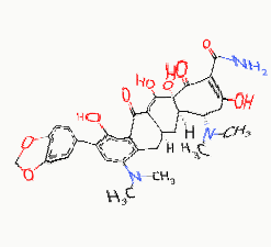 CN(C)c1cc(-c2ccc3c(c2)OCO3)c(O)c2c1C[C@@H]1C[C@@H]3[C@@H](N(C)C)C(O)=C(C(N)=O)C(=O)[C@]3(O)C(O)=C1C2=O